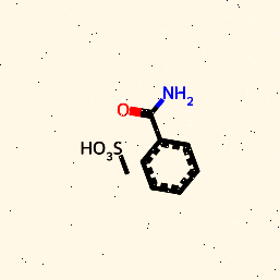 CS(=O)(=O)O.NC(=O)c1ccccc1